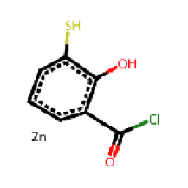 O=C(Cl)c1cccc(S)c1O.[Zn]